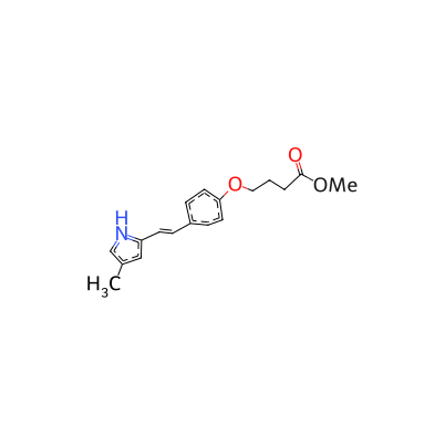 COC(=O)CCCOc1ccc(C=Cc2cc(C)c[nH]2)cc1